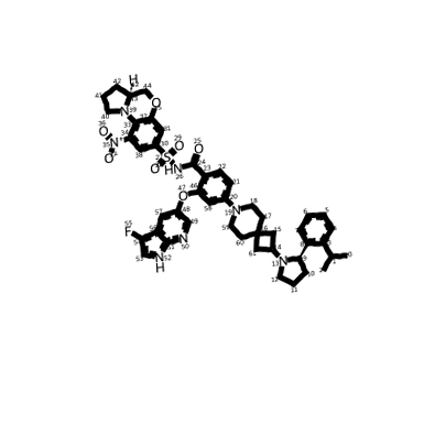 CC(C)c1ccccc1[C@H]1CCCN1C1CC2(CCN(c3ccc(C(=O)NS(=O)(=O)c4cc5c(c([N+](=O)[O-])c4)N4CCC[C@H]4CO5)c(Oc4cnc5[nH]cc(F)c5c4)c3)CC2)C1